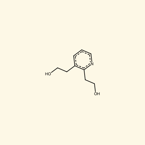 OCCc1cccnc1CCO